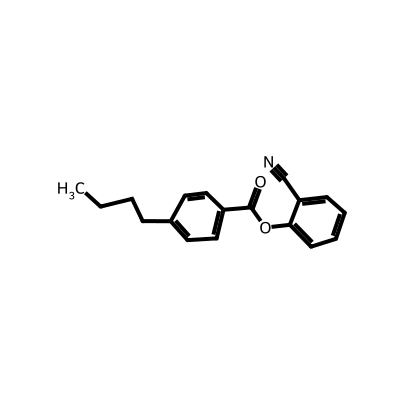 CCCCc1ccc(C(=O)Oc2ccccc2C#N)cc1